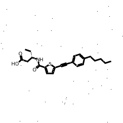 CCCCCc1ccc(C#Cc2ccc(C(=O)N[C@@H](CC)CC(=O)O)s2)cc1